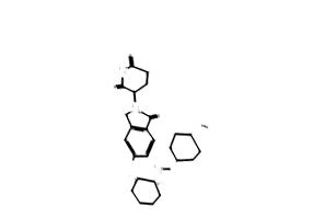 CO[C@H]1CC[C@@H](CN[C@@H]2CCCC[C@@H]2Oc2ccc3c(c2)CN(C2CCC(=O)NC2=O)C3=O)CC1